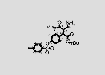 Cc1ccc(S(=O)(=O)Oc2ccc(C(C(=O)OC(C)(C)C)C(CN)C(=O)OC(C)C)cc2)cc1